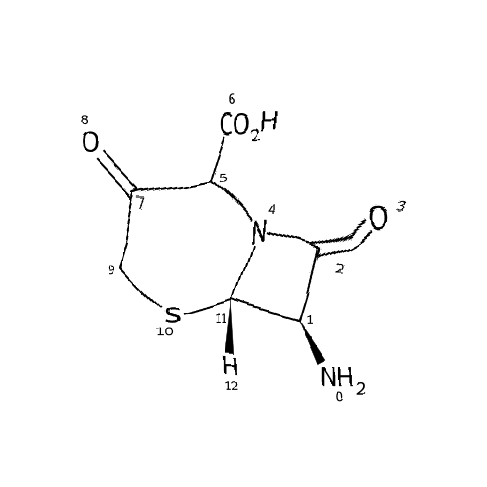 N[C@@H]1C(=O)N2C(C(=O)O)C(=O)CS[C@@H]12